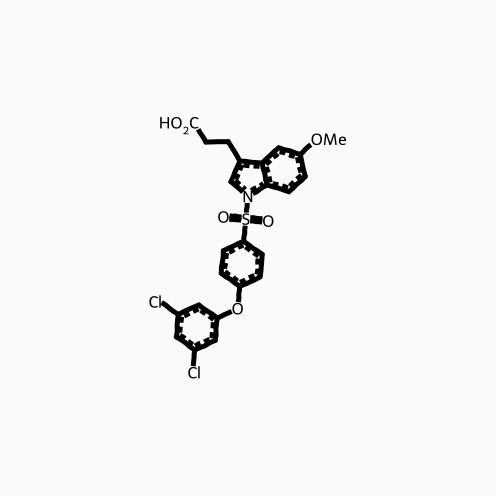 COc1ccc2c(c1)c(CCC(=O)O)cn2S(=O)(=O)c1ccc(Oc2cc(Cl)cc(Cl)c2)cc1